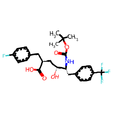 CC(C)(C)OC(=O)N[C@H](Cc1ccc(C(F)(F)F)cc1)[C@H](O)C[C@H](Cc1ccc(F)cc1)C(=O)O